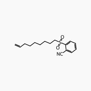 C=CCCCCCCCS(=O)(=O)c1ccccc1C#N